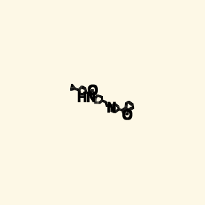 O=C(NC1CCC(CCN2CCC(c3coc4ccccc34)CC2)CC1)c1ccc(C2CC2)cc1